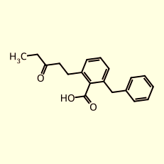 CCC(=O)CCc1cccc(Cc2ccccc2)c1C(=O)O